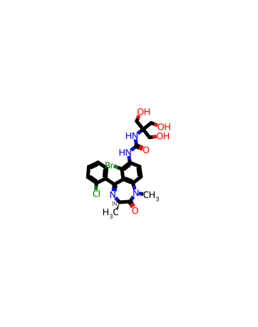 C[C@@H]1N=C(c2ccccc2Cl)c2c(ccc(NC(=O)NC(CO)(CO)CO)c2Br)N(C)C1=O